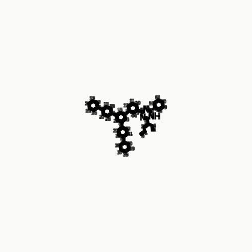 C=C/C=C(\C=C)C1=NC(c2cccc(-c3cc(-c4ccc(-c5ccccc5)cc4)cc(-c4ccc(-c5ccccc5)cc4)c3)c2)=N[C@H](c2ccccc2)N1